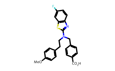 COc1ccc(CCN(Cc2ccc(C(=O)O)cc2)c2nc3ccc(F)cc3s2)cc1